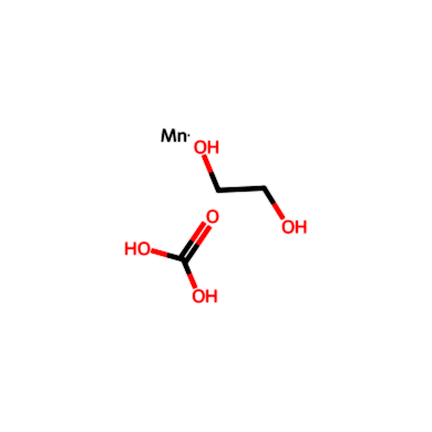 O=C(O)O.OCCO.[Mn]